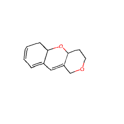 C1=CCC2OC3CCOCC3=CC2=C1